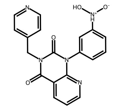 O=c1c2cccnc2n(-c2cccc([NH+]([O-])O)c2)c(=O)n1Cc1ccncc1